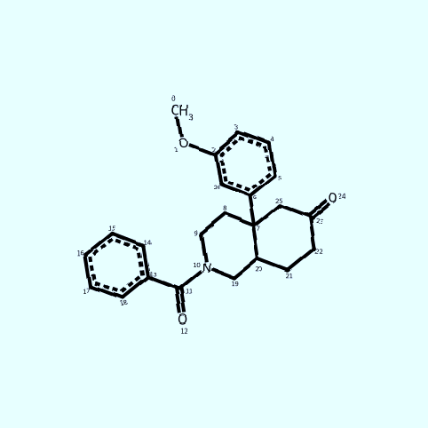 COc1cccc(C23CCN(C(=O)c4ccccc4)CC2CCC(=O)C3)c1